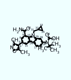 Cc1noc(C)c1-c1cc(C(N)=O)c2c(c1)c1ccc(N(C(=O)O)C(C)(C)C)cc1n2CC1CC1